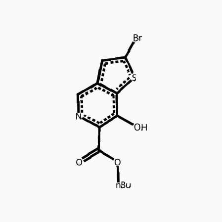 CCCCOC(=O)c1ncc2cc(Br)sc2c1O